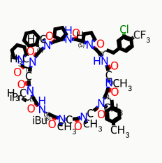 CC[C@H](C)[C@@H]1NC(=O)[C@H](CC(C)C)N(C)C(=O)C[C@@H](C(=O)N2CCCCC2)N(C)C(=O)[C@H](C2CCCCC2)N(C)C(=O)C2(CCCC2)NC(=O)[C@@H]2CCCN2C(=O)[C@H](CCc2ccc(C(F)(F)F)c(Cl)c2)NC(=O)CN(C)C(=O)[C@H](Cc2ccc(C)cc2)N(C)C(=O)CN(C)C(=O)CN(C)C1=O